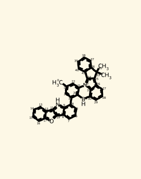 Cc1cc(-c2cccc3c2[nH]c2c4ccccc4oc32)c2c(c1)-n1c3c(c4cccc(c41)B2)C(C)(C)c1ccccc1-3